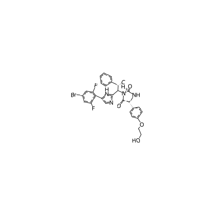 C[C@@H](c1ccccc1)C(c1ncc(-c2c(F)cc(Br)cc2F)[nH]1)N1C(=O)N[C@H](c2ccc(OCCO)cc2)C1=O